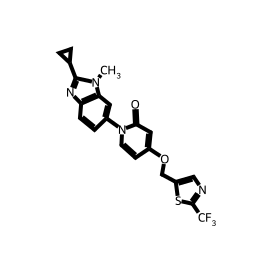 Cn1c(C2CC2)nc2ccc(-n3ccc(OCc4cnc(C(F)(F)F)s4)cc3=O)cc21